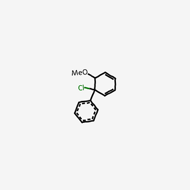 COC1C=CC=CC1(Cl)c1ccccc1